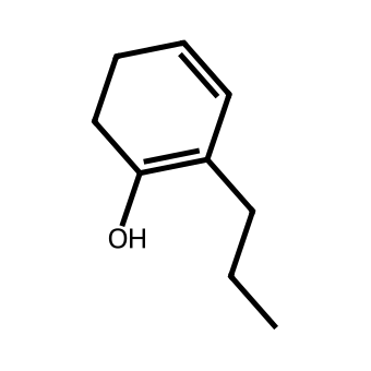 CCCC1=C(O)CCC=C1